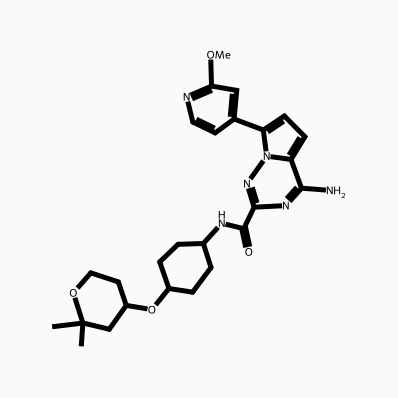 COc1cc(-c2ccc3c(N)nc(C(=O)NC4CCC(OC5CCOC(C)(C)C5)CC4)nn23)ccn1